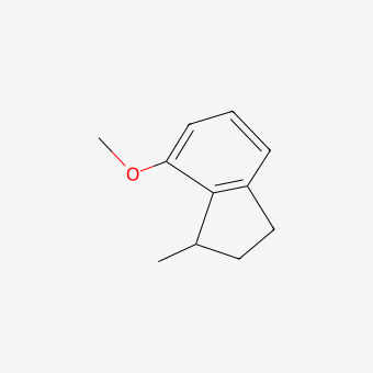 COc1cccc2c1C(C)CC2